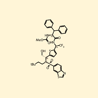 COC(=O)N[C@H](C(=O)N[C@H](c1ccc([C@@H](CO)N(CCC(C)(C)C)S(=O)(=O)c2ccc3ncsc3c2)s1)C(F)(F)F)C(c1ccccc1)c1ccccc1